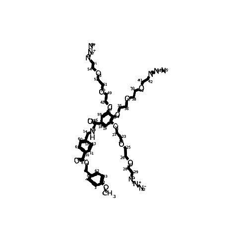 COc1ccc(COC(=O)c2ccc(CNC(=O)c3cc(OCCOCCOCCN=[N+]=[N-])c(OCCOCCOCCN=[N+]=[N-])c(OCCOCCOCCN=[N+]=[N-])c3)cc2)cc1